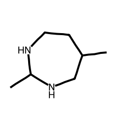 CC1CCNC(C)NC1